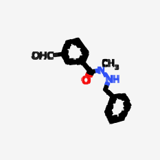 CN(NCc1ccccc1)C(=O)c1cccc(C=O)c1